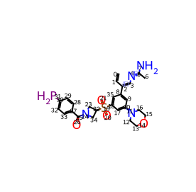 C=C/C(=C\N=C(/C)N)c1cc(N2CCOCC2)cc(S(=O)(=O)C2CN(C(=O)c3ccc(P)cc3)C2)c1